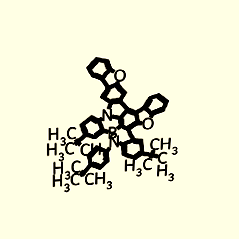 CC(C)(C)c1ccc(N2B3c4cc(C(C)(C)C)ccc4-n4c5cc6c(cc5c5c7c(oc8ccccc87)c(c3c54)-c3cc(C(C)(C)C)ccc32)oc2ccccc26)cc1